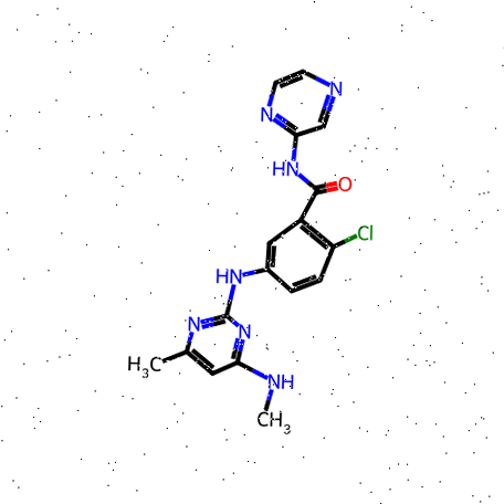 CNc1cc(C)nc(Nc2ccc(Cl)c(C(=O)Nc3cnccn3)c2)n1